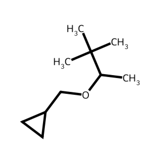 CC(OCC1CC1)C(C)(C)C